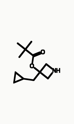 CC(C)(C)C(=O)OC1(CC2CC2)CNC1